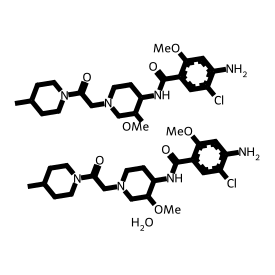 COc1cc(N)c(Cl)cc1C(=O)NC1CCN(CC(=O)N2CCC(C)CC2)CC1OC.COc1cc(N)c(Cl)cc1C(=O)NC1CCN(CC(=O)N2CCC(C)CC2)CC1OC.O